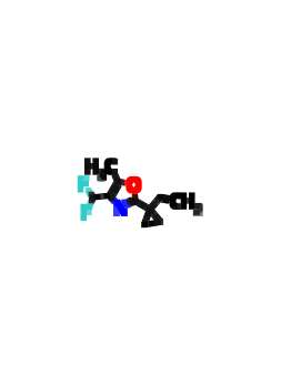 C=CC1(c2nc(C(F)F)c(C)o2)CC1